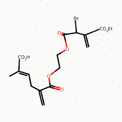 C=C(CC=C(C)C(=O)O)C(=O)OCCOC(=O)C(C(=C)C(=O)OCC)C(C)=O